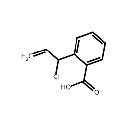 C=CC(Cl)c1ccccc1C(=O)O